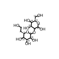 OCC[C@H]1OC(OC2C(O)O[C@H](CO)C(O)[C@@H]2O)C(O)[C@@H](O)C1O